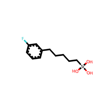 O[Si](O)(O)CCCCCc1cccc(F)c1